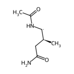 CC(=O)N[CH][C@@H](C)CC(N)=O